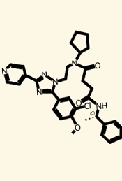 COc1ccc(-c2nc(-c3ccncc3)nn2CCN(C(=O)CCC(=O)N[C@@H](C)c2ccccc2)C2CCCC2)cc1Cl